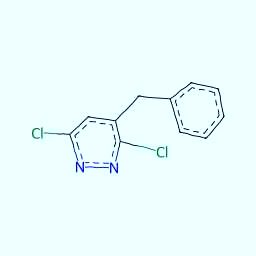 Clc1cc(Cc2ccccc2)c(Cl)nn1